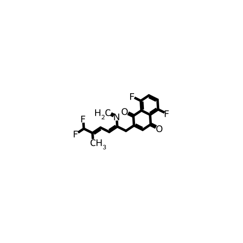 C=N/C(=C\C=C(/C)C(F)F)CC1=CC(=O)c2c(F)ccc(F)c2C1=O